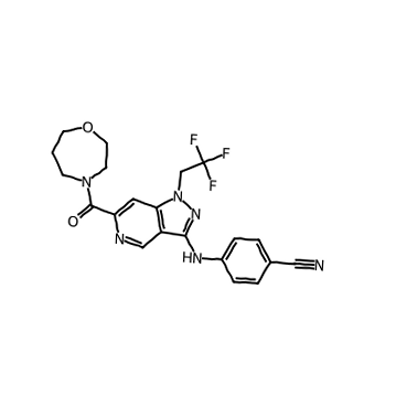 N#Cc1ccc(Nc2nn(CC(F)(F)F)c3cc(C(=O)N4CCCOCC4)ncc23)cc1